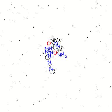 CNC(=O)c1nnc([C@@]2(C(N)=O)CC23CC3)cc1Nc1nc2ccc(N3CC(N4CCCCC4)C3)cn2n1